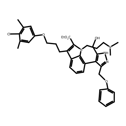 CCOC(=O)c1c(CCCOc2cc(C)c(Cl)c(C)c2)c2cccc(-c3c(COc4ccccc4)n[nH]c3CO)c2n1CCCN(C)C